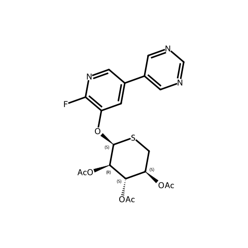 CC(=O)O[C@@H]1[C@@H](OC(C)=O)[C@@H](Oc2cc(-c3cncnc3)cnc2F)SC[C@H]1OC(C)=O